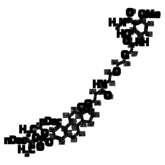 CCCCCCCCCCC(C)OP(=O)(Oc1ccc2c(c1)CCC1C2CCC2(C)C1CC[C@H]2OCCC(=O)NCCOCCOCC(=O)Nc1ccc(OC)c(C(N)=O)c1O)OC(C)CCCCCCCCCC